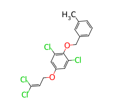 Cc1cccc(COc2c(Cl)cc(OCC=C(Cl)Cl)cc2Cl)c1